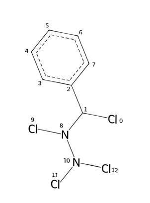 ClC(c1ccccc1)N(Cl)N(Cl)Cl